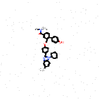 CC(C)N(C)C(=O)c1ccc(-c2ccc(O)cc2)c(COc2ccc(-c3nc4cc(C(=O)O)ccc4n3C3CCCCC3)cc2)c1